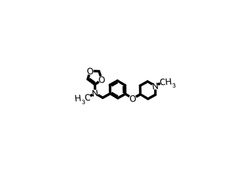 CN1CCC(Oc2cccc(CN(C)C3=COCO3)c2)CC1